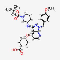 COc1ccc(Cn2nc(N[C@@H]3CCCN(C(=O)OC(C)(C)C)C3)c3c(O[C@H]4CC[C@H](C(=O)O)CC4)ccnc32)cc1